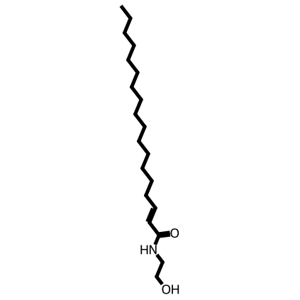 CCCCCCCCCCCCCCCC=CC(=O)NCCO